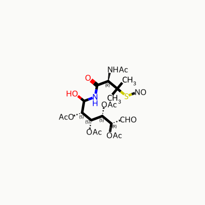 CC(=O)N[C@H](C(=O)NC(O)[C@@H](OC(C)=O)[C@@H](OC(C)=O)[C@H](OC(C)=O)[C@H](C=O)OC(C)=O)C(C)(C)SN=O